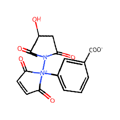 O=C([O-])c1cccc([N+]2(N3C(=O)CC(O)C3=O)C(=O)C=CC2=O)c1